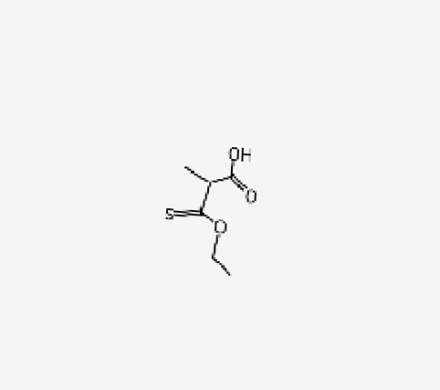 CCOC(=S)C(C)C(=O)O